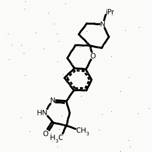 CC(C)N1CCC2(CCc3cc(C4=NNC(=O)C(C)(C)C4)ccc3O2)CC1